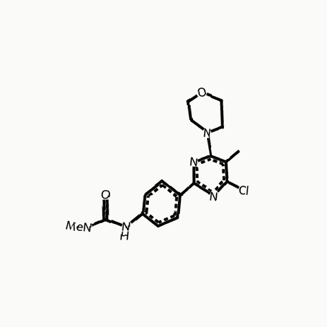 CNC(=O)Nc1ccc(-c2nc(Cl)c(C)c(N3CCOCC3)n2)cc1